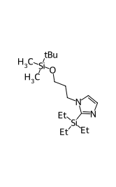 CC[Si](CC)(CC)c1nccn1CCCO[Si](C)(C)C(C)(C)C